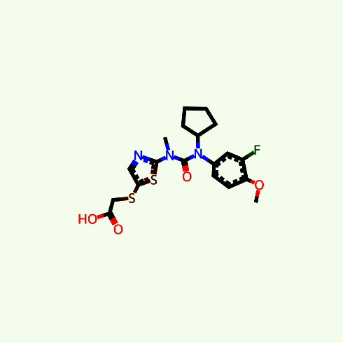 COc1ccc(N(C(=O)N(C)c2ncc(SCC(=O)O)s2)C2CCCC2)cc1F